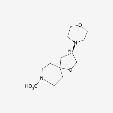 O=C(O)N1CCC2(CC1)C[C@@H](N1CCOCC1)CO2